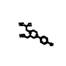 N#CC(Cl)CN1CCN(c2ccc(Br)cc2)CC1CO